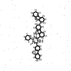 CN1C(c2ccccc2)NC(c2cccc3c2oc2ccc(-c4cccc5c4sc4ccccc45)cc23)NC1c1ccc2c(c1)oc1ccccc12